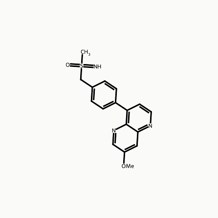 COc1cnc2c(-c3ccc(CS(C)(=N)=O)cc3)ccnc2c1